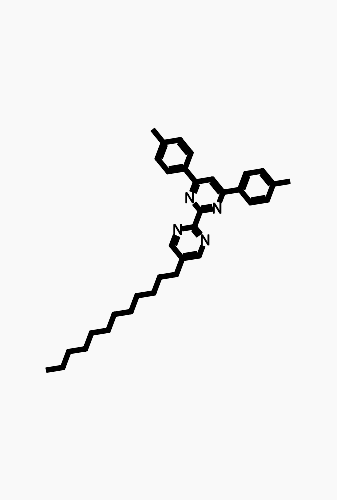 CCCCCCCCCCCCc1cnc(-c2nc(-c3ccc(C)cc3)cc(-c3ccc(C)cc3)n2)nc1